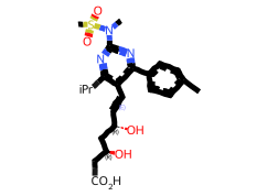 Cc1ccc(-c2nc(N(C)S(C)(=O)=O)nc(C(C)C)c2/C=C/[C@H](O)C[C@@H](O)CC(=O)O)cc1